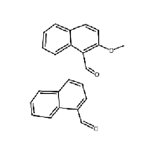 COc1ccc2ccccc2c1C=O.O=Cc1cccc2ccccc12